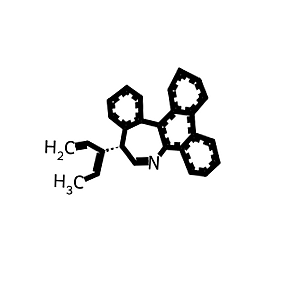 C=C/C(=C\C)[C@H]1C=Nc2c(c3ccccc3c3ccccc23)-c2ccccc21